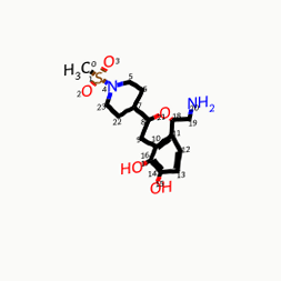 CS(=O)(=O)N1CCC(C2Cc3c(ccc(O)c3O)C(CN)O2)CC1